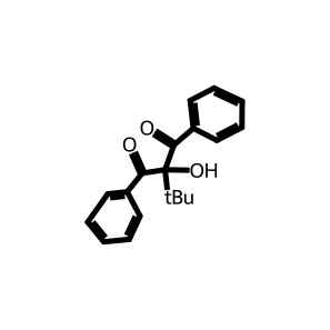 CC(C)(C)C(O)(C(=O)c1ccccc1)C(=O)c1ccccc1